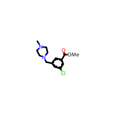 COC(=O)c1cc(Cl)cc(CN2CCN(C)CC2)c1